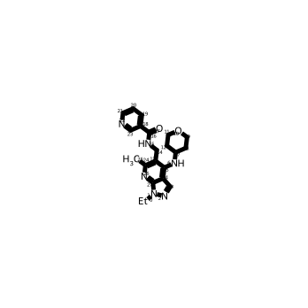 CCn1ncc2c(NC3CCOCC3)c(CNC(=O)c3cccnc3)c(C)nc21